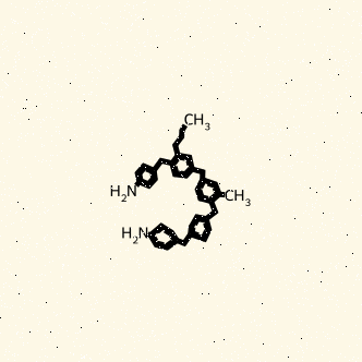 CCCCc1cc(Cc2ccc(Cc3ccc(Cc4ccc(N)cc4)cc3)c(C)c2)ccc1Cc1ccc(N)cc1